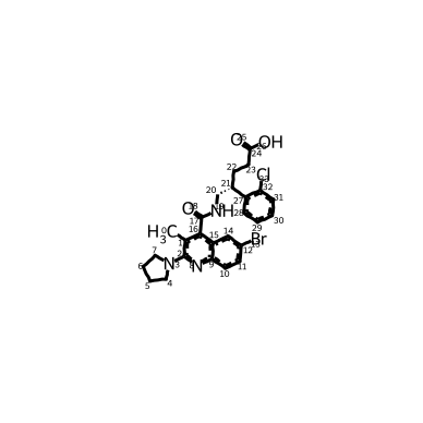 Cc1c(N2CCCC2)nc2ccc(Br)cc2c1C(=O)NC[C@H](CCC(=O)O)c1ccccc1Cl